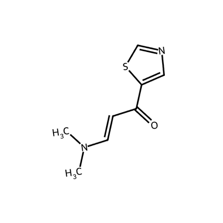 CN(C)C=CC(=O)c1cncs1